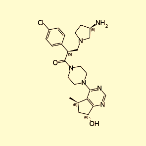 C[C@@H]1C[C@@H](O)c2ncnc(N3CCN(C(=O)[C@H](CN4CC[C@@H](N)C4)c4ccc(Cl)cc4)CC3)c21